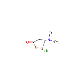 CCN(CC)C1CC(=O)SS1.Cl